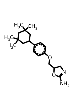 CC1(C)CC(c2ccc(OCC3CN=C(N)O3)cc2)CC(C)(C)C1